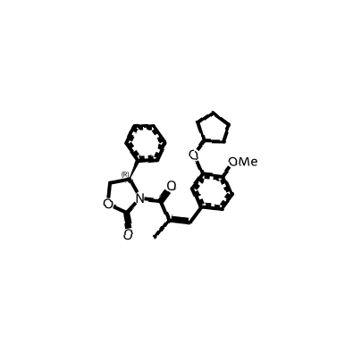 COc1ccc(C=C(C)C(=O)N2C(=O)OC[C@H]2c2ccccc2)cc1OC1CCCC1